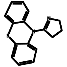 c1ccc2c(c1)Sc1ccccc1N2C1=NCCC1